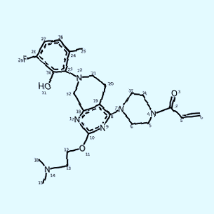 C=CC(=O)N1CCN(c2nc(OCCN(C)C)nc3c2CCN(c2c(C)ccc(F)c2O)C3)CC1